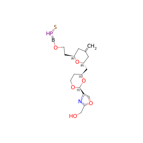 C=C1C[C@H](C[C@@H]2CCO[C@H](c3coc(CO)n3)O2)O[C@@H](CCOB=[PH]=S)C1